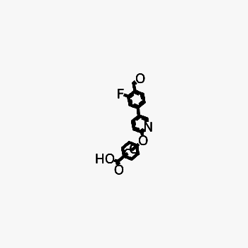 O=Cc1ccc(-c2ccc(OC34CCC(C(=O)O)(CC3)CC4)nc2)cc1F